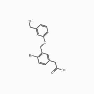 O=C(O)Cc1ccc(Br)c(COc2cccc(CO)c2)c1